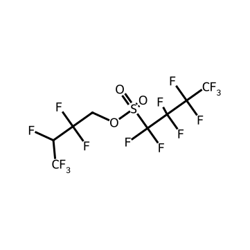 O=S(=O)(OCC(F)(F)C(F)C(F)(F)F)C(F)(F)C(F)(F)C(F)(F)C(F)(F)F